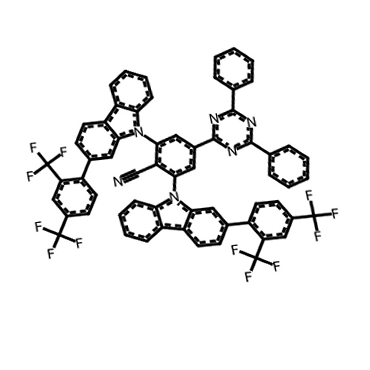 N#Cc1c(-n2c3ccccc3c3ccc(-c4ccc(C(F)(F)F)cc4C(F)(F)F)cc32)cc(-c2nc(-c3ccccc3)nc(-c3ccccc3)n2)cc1-n1c2ccccc2c2ccc(-c3ccc(C(F)(F)F)cc3C(F)(F)F)cc21